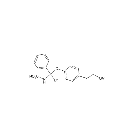 CCC(NC(=O)O)(Oc1ccc(CCO)cc1)c1ccccc1